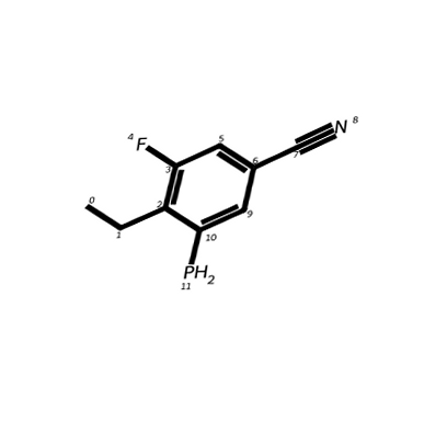 CCc1c(F)cc(C#N)cc1P